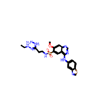 CCN/N=C(/CCNS(=O)(=O)c1cc2c(Nc3ccc4scnc4c3)ncnc2cc1OC)NN